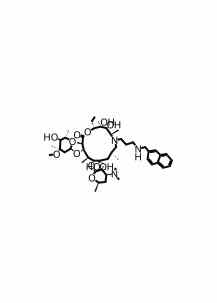 CC[C@H]1OC(=O)[C@H](C)[C@@H](O[C@H]2C[C@@](C)(OC)[C@@H](O)[C@H](C)O2)[C@H](C)[C@@H](O[C@@H]2O[C@H](C)C[C@H](N(C)C)[C@H]2O)[C@](C)(O)C[C@@H](C)CN(CCCNCc2ccc3ccccc3c2)[C@H](C)[C@@H](O)[C@]1(C)O